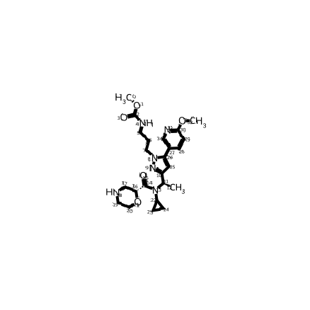 COC(=O)NCCCn1nc([C@@H](C)N(C(=O)[C@H]2CNCCO2)C2CC2)cc1-c1ccc(OC)nc1